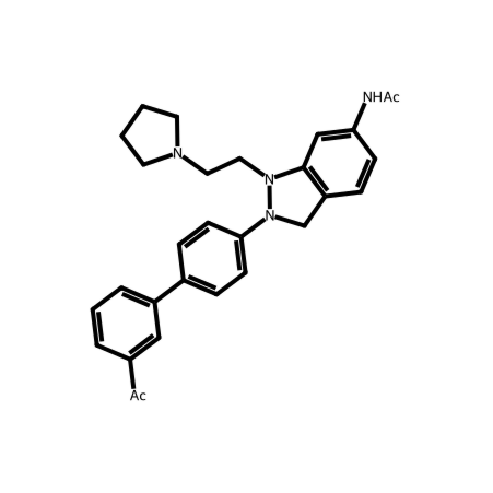 CC(=O)Nc1ccc2c(c1)N(CCN1CCCC1)N(c1ccc(-c3cccc(C(C)=O)c3)cc1)C2